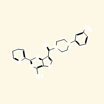 O=C(c1csc2c(O)nc(C3=CCCC=N3)nc12)N1CCN(c2cccc(P)c2)CC1